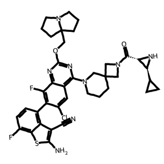 N#Cc1c(N)sc2c(F)ccc(-c3c(Cl)cc4c(N5CCCC6(CN(C(=O)[C@@H]7N[C@H]7C7CC7)C6)C5)nc(OCC56CCCN5CCC6)nc4c3F)c12